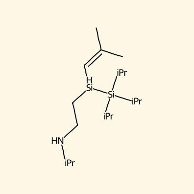 CC(C)=C[SiH](CCNC(C)C)[Si](C(C)C)(C(C)C)C(C)C